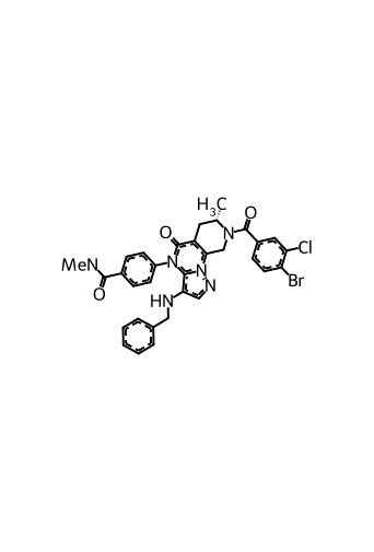 CNC(=O)c1ccc(-n2c(=O)c3c(n4ncc(NCc5ccccc5)c24)CN(C(=O)c2ccc(Br)c(Cl)c2)[C@@H](C)C3)cc1